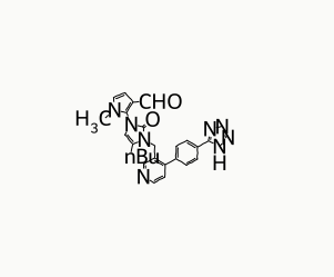 CCCCc1cn(-c2c(C=O)ccn2C)c(=O)n1Cc1cnccc1-c1ccc(-c2nnn[nH]2)cc1